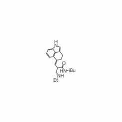 CCNCC(/C=C1\CCc2c[nH]c3cccc1c23)C(=O)N[C@H](C)CC